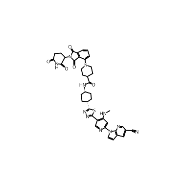 CNc1cc(-n2ccc3cc(C#N)cnc32)ncc1-c1nnc([C@H]2CC[C@H](NC(=O)C3CCN(c4cccc5c4C(=O)N(C4CCC(=O)NC4=O)C5=O)CC3)CC2)s1